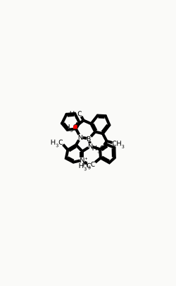 Cc1ccccc1N1B(c2c(C(C)C)cccc2C(C)C)N(c2ccccc2)c2c(C)cc[n+](C)c21